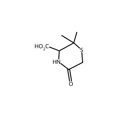 CC1(C)SCC(=O)NC1C(=O)O